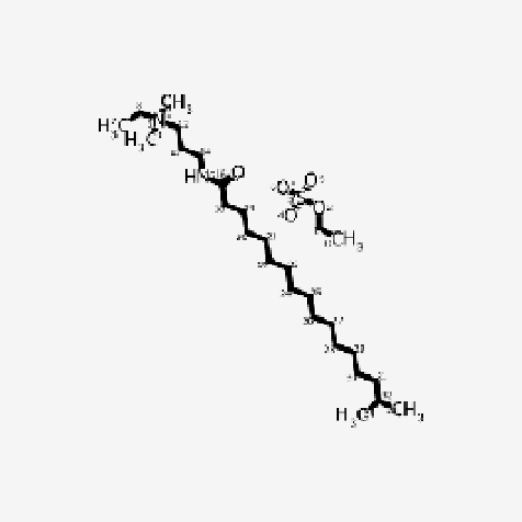 CCOS(=O)(=O)[O-].CC[N+](C)(C)CCCNC(=O)CCCCCCCCCCCCCCC(C)C